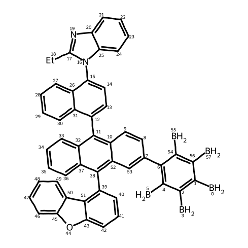 Bc1c(B)c(B)c(-c2ccc3c(-c4ccc(-n5c(CC)nc6ccccc65)c5ccccc45)c4ccccc4c(-c4cccc5oc6ccccc6c45)c3c2)c(B)c1B